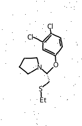 CCSC[C@@H](Oc1ccc(Cl)c(Cl)c1)N1CCCC1